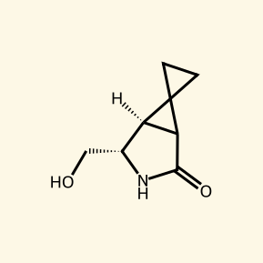 O=C1N[C@H](CO)[C@@H]2C1C21CC1